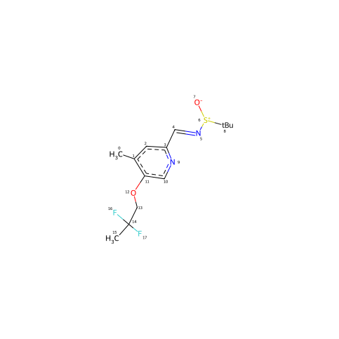 Cc1cc(C=N[S+]([O-])C(C)(C)C)ncc1OCC(C)(F)F